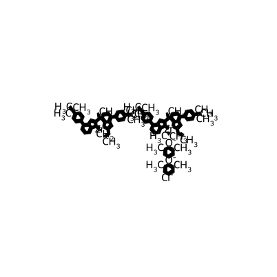 CCCC1=Cc2c(-c3ccc(C(C)(C)C)cc3)cccc2[CH]1[Zr](=[C](C)C)[CH]1C(CCC)=Cc2c(-c3ccc(C(C)(C)C)cc3)cccc21.Cc1cccc(C)c1[O-].Cc1cccc(C)c1[O-].[CH2]=[Zr]([CH]1C(CCC)=Cc2c(-c3ccc(C(C)(C)C)cc3)cccc21)[CH]1C(CCC)=Cc2c(-c3ccc(C(C)(C)C)cc3)cccc21.[Cl-]